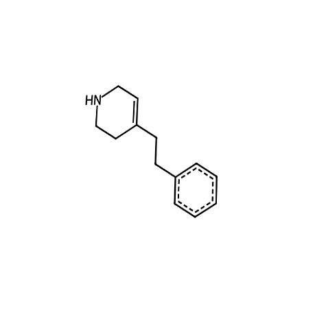 C1=C(CCc2ccccc2)CCNC1